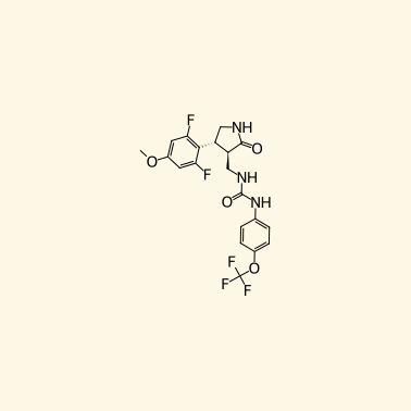 COc1cc(F)c([C@@H]2CNC(=O)[C@H]2CNC(=O)Nc2ccc(OC(F)(F)F)cc2)c(F)c1